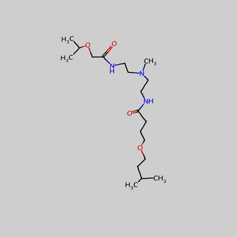 CC(C)CCOCCCC(=O)NCCN(C)CCNC(=O)COC(C)C